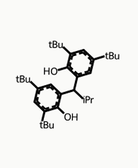 CC(C)C(c1cc(C(C)(C)C)cc(C(C)(C)C)c1O)c1cc(C(C)(C)C)cc(C(C)(C)C)c1O